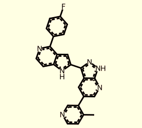 Cc1ccncc1-c1cnc2[nH]nc(-c3cc4c(-c5ccc(F)cc5)nccc4[nH]3)c2c1